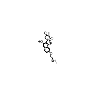 NCCOc1ccc2cc(O)c(N3CC(=O)NS3(=O)=O)c(F)c2c1